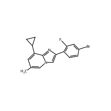 Cc1cc(C2CC2)c2nc(-c3ccc(Br)cc3F)cn2c1